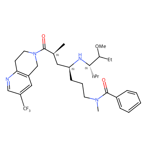 CCC[C@H](N[C@@H](CCCN(C)C(=O)c1ccccc1)C[C@H](C)C(=O)N1CCc2ncc(C(F)(F)F)cc2C1)C(CC)OC